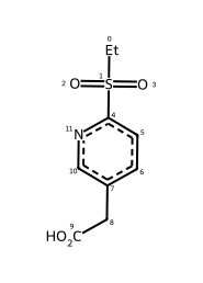 CCS(=O)(=O)c1ccc(CC(=O)O)cn1